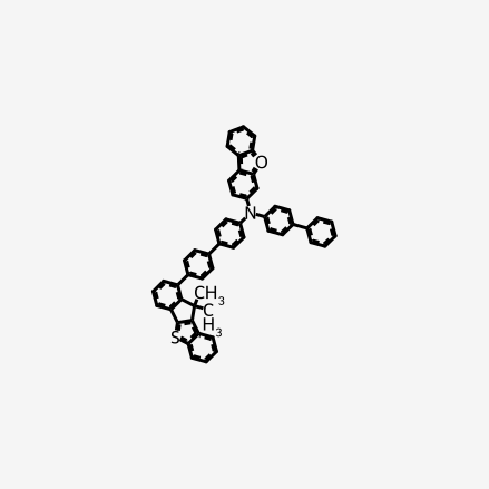 CC1(C)c2c(-c3ccc(-c4ccc(N(c5ccc(-c6ccccc6)cc5)c5ccc6c(c5)oc5ccccc56)cc4)cc3)cccc2-c2sc3ccccc3c21